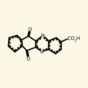 O=C(O)c1ccc2nc3c(nc2c1)C(=O)c1ccccc1C3=O